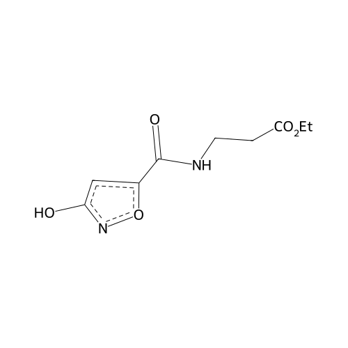 CCOC(=O)CCNC(=O)c1cc(O)no1